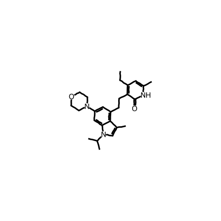 CCc1cc(C)[nH]c(=O)c1CCc1cc(N2CCOCC2)cc2c1c(C)cn2C(C)C